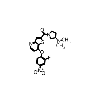 CN(C)[C@@H]1CCN(C(=O)c2cc3nccc(Oc4ccc([N+](=O)[O-])cc4F)c3s2)C1